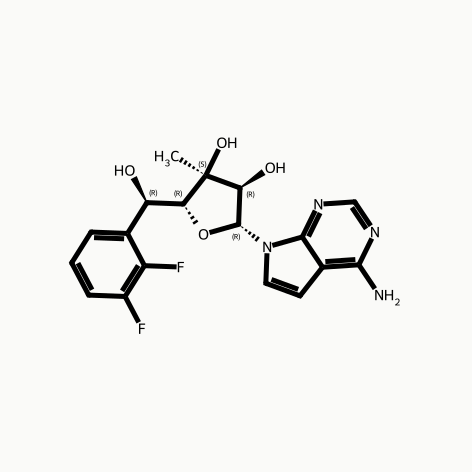 C[C@@]1(O)[C@@H]([C@H](O)c2cccc(F)c2F)O[C@@H](n2ccc3c(N)ncnc32)[C@@H]1O